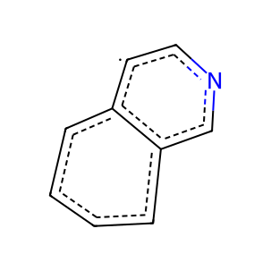 [c]1cncc2ccccc12